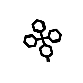 C1=CC(C(C2C=CCCC2)(C2C=CCCC2)N2CCNCC2)=CCC1